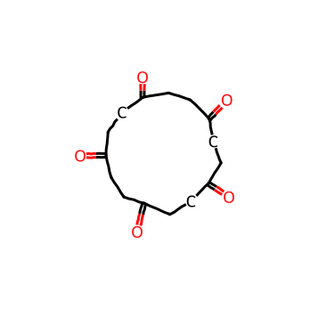 O=C1CCC(=O)CCC(=O)CCC(=O)CCC(=O)CC1